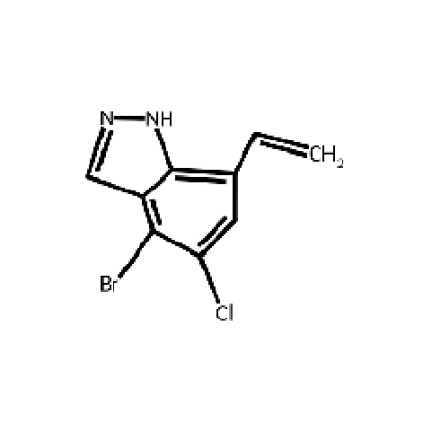 C=Cc1cc(Cl)c(Br)c2cn[nH]c12